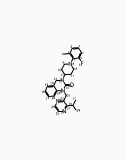 Cc1cccc(F)c1N1CCC(N2Cc3ccccc3N(Cc3nccnc3C(C)C)C2=O)CC1